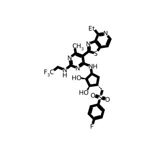 CCc1nccc2sc(-c3c(C)nc(NCC(F)(F)F)nc3NC3C[C@H](CS(=O)(=O)c4ccc(F)cc4)[C@@H](O)[C@H]3O)nc12